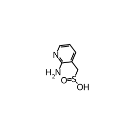 Nc1ncccc1CS(=O)O